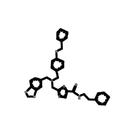 O=C(NCCc1ccccc1)c1csc(CN(Cc2ccc(OCc3ccccc3)cc2)Cc2ccc3c(c2)OCO3)n1